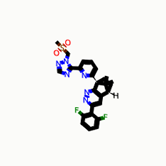 CC1(C)[C@H]2CC[C@]1(c1cccc(-c3ncnn3CS(C)(=O)=O)n1)c1nnc(-c3c(F)cccc3F)cc12